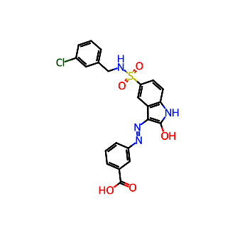 O=C(O)c1cccc(N=Nc2c(O)[nH]c3ccc(S(=O)(=O)NCc4cccc(Cl)c4)cc23)c1